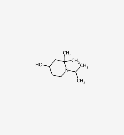 CC(C)N1CCC(O)CC1(C)C